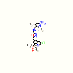 Cc1cc(N)nc(C)c1CNCc1nnc(Cc2cc(C(C)(C)O)c3ncc(Cl)cc3c2)o1